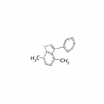 Cc1ccc(C)c2c1[CH]C=C2c1ccccc1